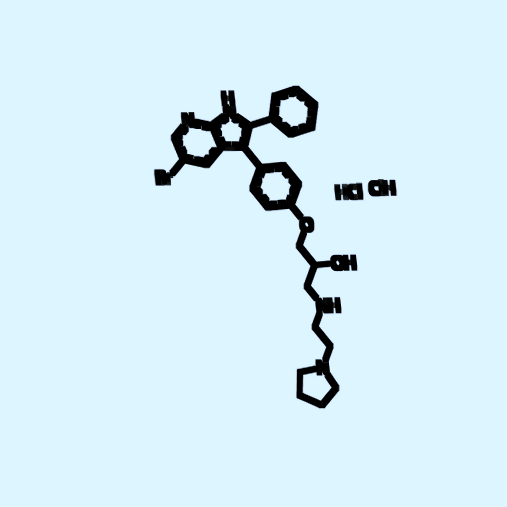 Cl.Cl.OC(CNCCN1CCCC1)COc1ccc(-c2c(-c3ccccc3)[nH]c3ncc(Br)cc23)cc1